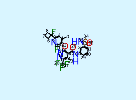 Cc1cc(C2(F)CCC2)nc(F)c1Oc1nnc(C(F)(F)F)c(C)c1C(=O)Nc1cccc(S(C)(=N)=O)c1